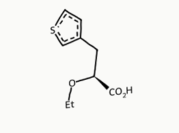 CCO[C@@H](Cc1ccsc1)C(=O)O